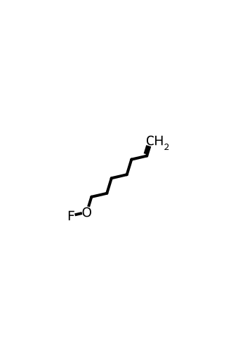 C=CCCCCCOF